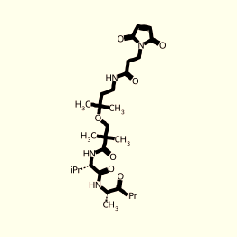 CC(C)C(=O)[C@H](C)NC(=O)[C@@H](NC(=O)C(C)(C)COC(C)(C)CCNC(=O)CCN1C(=O)C=CC1=O)C(C)C